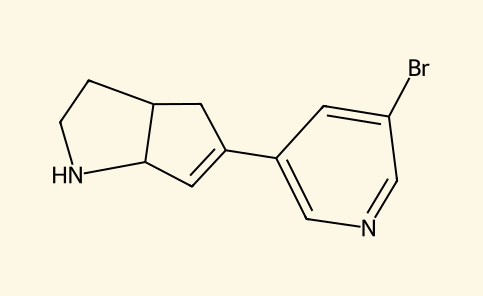 Brc1cncc(C2=CC3NCCC3C2)c1